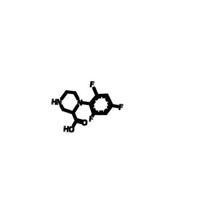 O=C(O)C1CNCCN1c1c(F)cc(F)cc1F